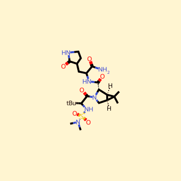 CN(C)S(=O)(=O)NC(C(=O)N1C[C@H]2[C@@H]([C@H]1C(=O)NC(CC1CCNC1=O)C(N)=O)C2(C)C)C(C)(C)C